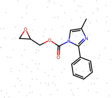 Cc1cn(C(=O)OCC2CO2)c(-c2ccccc2)n1